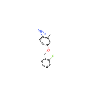 Cc1cc(OCc2ccccc2F)ccc1N